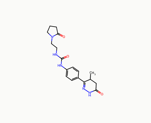 CC1CC(=O)NN=C1c1ccc(NC(=O)NCCN2CCCC2=O)cc1